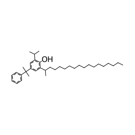 CCCCCCCCCCCCCCCCC(C)c1cc(C(C)(C)c2ccccc2)cc(C(C)C)c1O